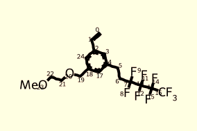 C=Cc1cc(CCC(F)(F)C(F)(F)C(F)(F)C(F)(F)F)cc(COCCOC)c1